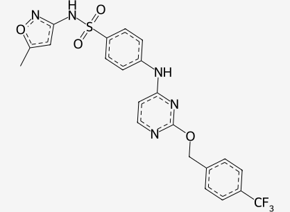 Cc1cc(NS(=O)(=O)c2ccc(Nc3ccnc(OCc4ccc(C(F)(F)F)cc4)n3)cc2)no1